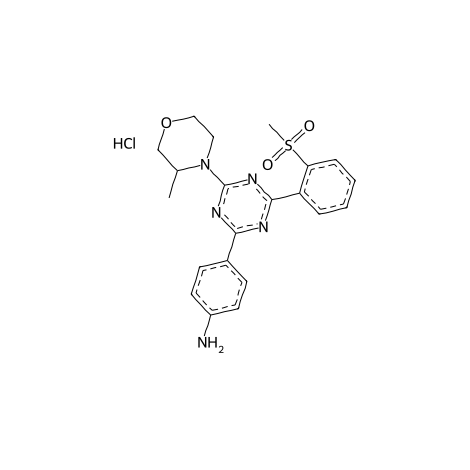 CC1COCCN1c1nc(-c2ccc(N)cc2)nc(-c2ccccc2S(C)(=O)=O)n1.Cl